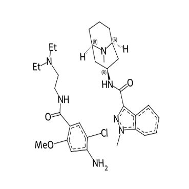 CCN(CC)CCNC(=O)c1cc(Cl)c(N)cc1OC.CN1[C@@H]2CCC[C@H]1C[C@@H](NC(=O)c1nn(C)c3ccccc13)C2